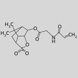 C=CC(=O)NCC(=O)OC1C2OS(=O)(=O)C3CC1C(C)(C)C23